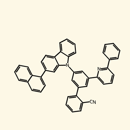 N#Cc1ccccc1-c1cc(-c2cccc(-c3ccccc3)n2)cc(-n2c3ccccc3c3ccc(-c4cccc5ccccc45)cc32)c1